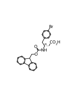 O=C(O)C[C@@H](Cc1ccc(Br)cc1)NC(=O)OCC1c2ccccc2-c2ccccc21